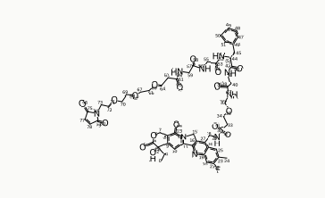 CC[C@@]1(O)C(=O)OCc2c1cc1n(c2=O)Cc2c-1nc1cc(F)c(C)cc1c2CNS(=O)(=O)CCOCNC(=O)CNC(=O)[C@H](Cc1ccccc1)NC(=O)CNC(=O)CNC(=O)CCOCCOCCOCCN1C(=O)C=CC1=O